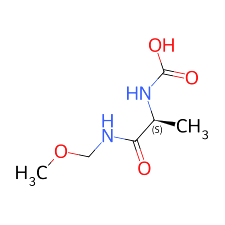 COCNC(=O)[C@H](C)NC(=O)O